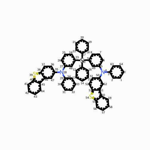 c1ccc(N(c2cccc([Si](c3ccccc3)(c3ccccc3)c3cccc(N(c4ccccc4)c4ccc5sc6ccccc6c5c4)c3)c2)c2ccc3sc4ccccc4c3c2)cc1